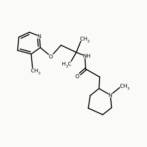 Cc1cccnc1OCC(C)(C)NC(=O)CC1CCCCN1C